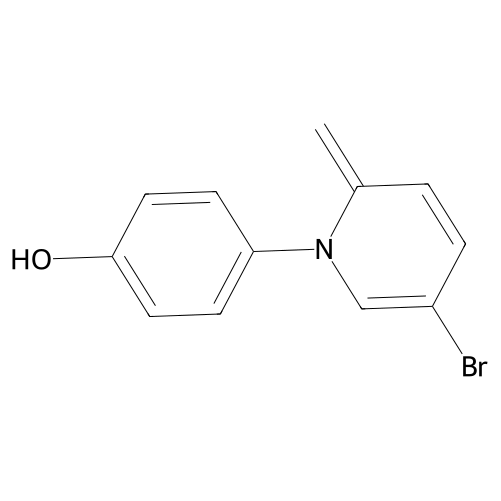 C=C1C=CC(Br)=CN1c1ccc(O)cc1